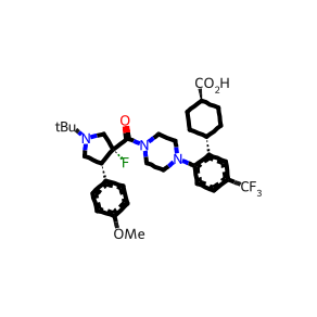 COc1ccc([C@@H]2CN(C(C)(C)C)C[C@@]2(F)C(=O)N2CCN(c3ccc(C(F)(F)F)cc3[C@H]3CC[C@H](C(=O)O)CC3)CC2)cc1